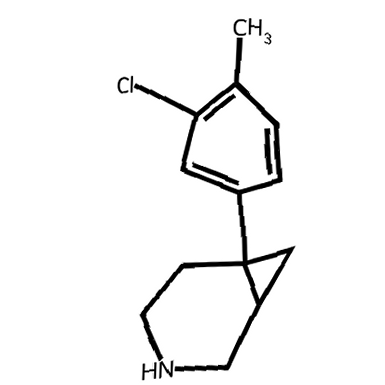 Cc1ccc(C23CCNCC2C3)cc1Cl